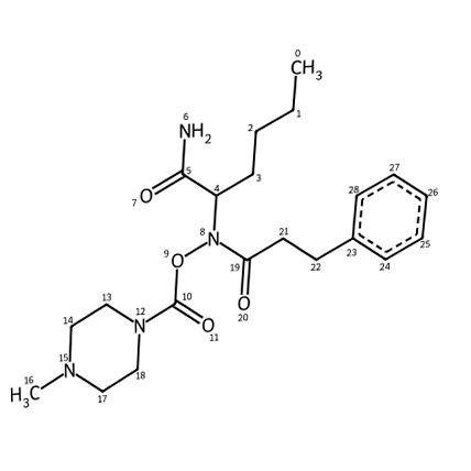 CCCCC(C(N)=O)N(OC(=O)N1CCN(C)CC1)C(=O)CCc1ccccc1